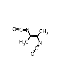 CC(N=C=O)=C(C)N=C=O